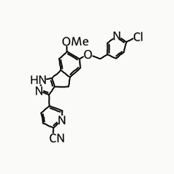 COc1cc2c(cc1OCc1ccc(Cl)nc1)Cc1c(-c3ccc(C#N)nc3)n[nH]c1-2